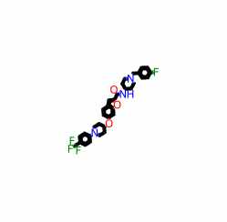 O=C(NC1CCN(Cc2ccc(F)cc2)CC1)c1cc2ccc(OC3CCN(c4ccc(C(F)(F)F)cc4)CC3)cc2o1